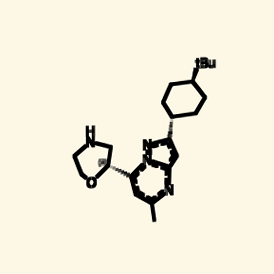 Cc1cc([C@H]2CNCCO2)n2nc([C@H]3CC[C@H](C(C)(C)C)CC3)cc2n1